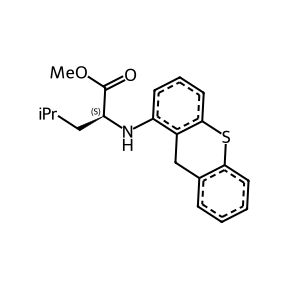 COC(=O)[C@H](CC(C)C)Nc1cccc2c1Cc1ccccc1S2